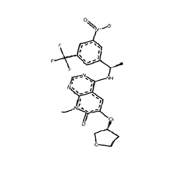 C[C@@H](Nc1ncnc2c1cc(O[C@H]1CCOC1)c(=O)n2C)c1cc([N+](=O)[O-])cc(C(F)(F)F)c1